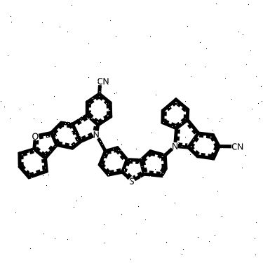 N#Cc1ccc2c(c1)c1ccccc1n2-c1ccc2sc3ccc(-n4c5ccc(C#N)cc5c5cc6oc7ccccc7c6cc54)cc3c2c1